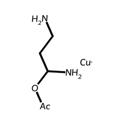 CC(=O)OC(N)CCN.[Cu]